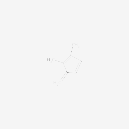 C=C1[C]=CC(C)=C1C